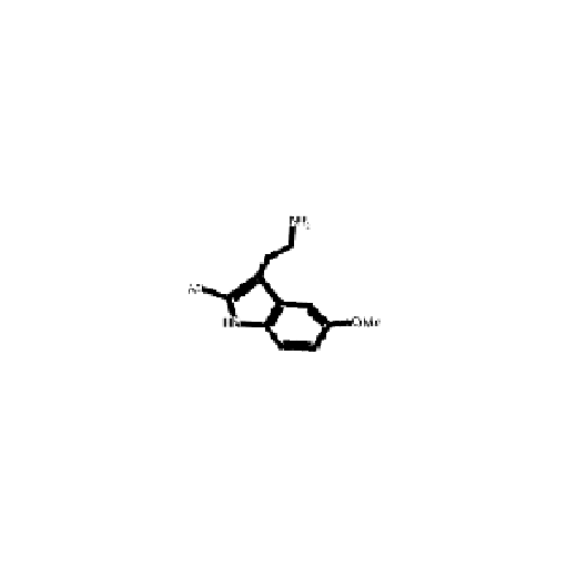 COc1ccc2[nH]c(C(C)=O)c(CCN)c2c1